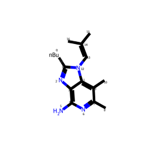 CCCCc1nc2c(N)nc(C)c(C)c2n1C=C(C)C